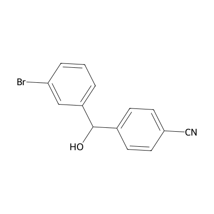 N#Cc1ccc(C(O)c2cccc(Br)c2)cc1